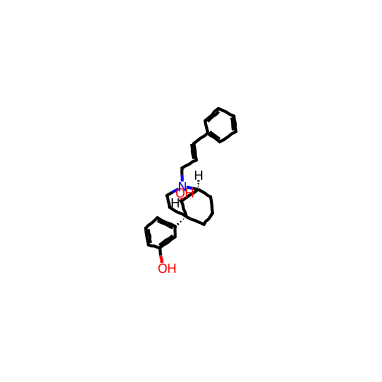 Oc1cccc([C@@]23CCC[C@@H]([C@H]2O)N(C/C=C/c2ccccc2)CC3)c1